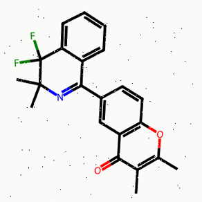 Cc1oc2ccc(C3=NC(C)(C)C(F)(F)c4ccccc43)cc2c(=O)c1C